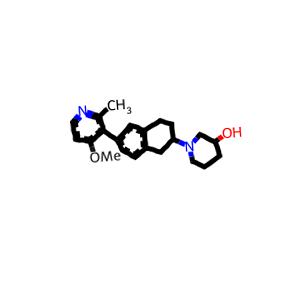 COc1ccnc(C)c1-c1ccc2c(c1)CCC(N1CCCC(O)C1)C2